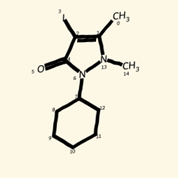 Cc1c(I)c(=O)n(C2CCCCC2)n1C